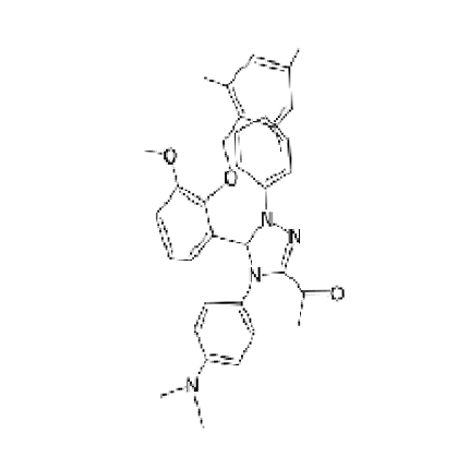 COc1cccc(C2N(c3ccccc3)N=C(C(C)=O)N2c2ccc(N(C)C)cc2)c1OCc1c(C)cc(C)cc1C